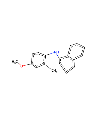 COc1ccc(Nc2cccc3ccccc23)c(C)c1